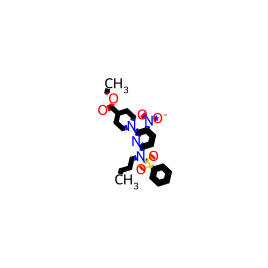 CCCCN(c1ccc([N+](=O)[O-])c(N2CCC(C(=O)OCC)CC2)n1)S(=O)(=O)c1ccccc1